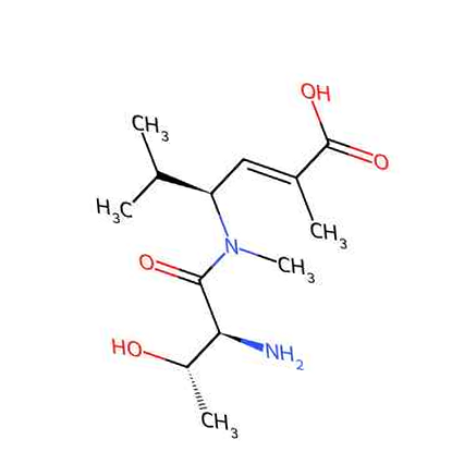 CC(=C[C@H](C(C)C)N(C)C(=O)[C@@H](N)[C@H](C)O)C(=O)O